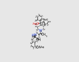 COc1cccc2c1C[C@H]1C[C@H](C(C)N3CCC(C(O)(c4ccccc4)c4ccccc4)CC3)CN[C@@H]1C2